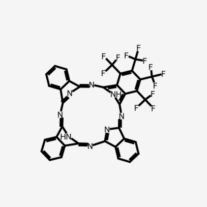 FC(F)(F)c1c(C(F)(F)F)c(C(F)(F)F)c2c3nc4nc(nc5[nH]c(nc6nc(nc([nH]3)c2c1C(F)(F)F)-c1ccccc1-6)c1ccccc51)-c1ccccc1-4